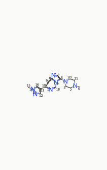 CN1CCN(c2cnc3cc(-c4cnn(C)c4)ncn23)CC1